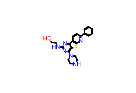 OCCNc1nc(N2CCNCC2)c2sc3nc(-c4ccccc4)ccc3c2n1